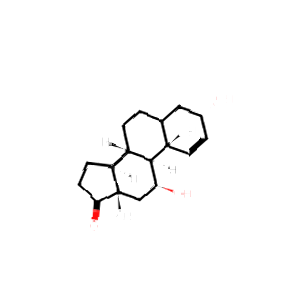 C[C@]12C=C[C@@H](O)CC1CC[C@@H]1[C@@H]2[C@@H](O)C[C@]2(C)C(=O)CC[C@@H]12